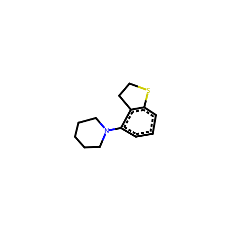 c1cc2c(c(N3CCCCC3)c1)CCS2